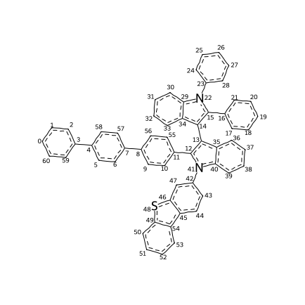 c1ccc(-c2ccc(-c3ccc(-c4c(-c5c(-c6ccccc6)n(-c6ccccc6)c6ccccc56)c5ccccc5n4-c4ccc5c(c4)sc4ccccc45)cc3)cc2)cc1